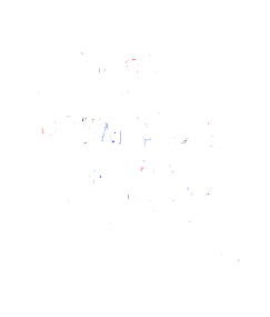 CCCCC(NC(=O)C1(NC(=O)N2CCOCC2)CCCCC1)C(=O)C(=O)N[C@H]1CCc2ccccc21